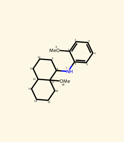 COc1ccccc1NC1CCCC2CCCCC21OC